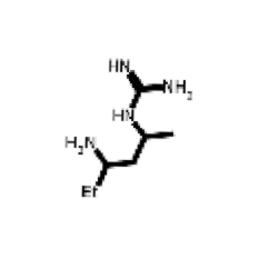 CCC(N)CC(C)NC(=N)N